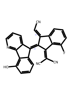 N#C/C=C1/C(=C2\c3cccnc3-c3c(O)cccc32)C(=C(C#N)C#N)c2c(F)cccc21